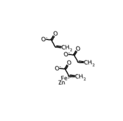 C=CC(=O)[O-].C=CC(=O)[O-].C=CC(=O)[O-].[Fe+3].[Zn]